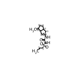 C=CCS(=O)(=O)NC(=O)NN1CC2CC[C@H](C)C2C1